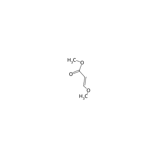 CO/C=[C]/C(=O)OC